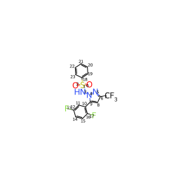 O=S(=O)(Nn1nc(C(F)(F)F)cc1-c1cc(F)ccc1F)c1ccccc1